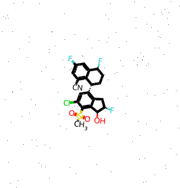 CS(=O)(=O)c1c(Cl)cc([C@H]2CC[C@H](F)c3cc(F)cc(C#N)c32)c2c1[C@H](O)[C@H](F)C2